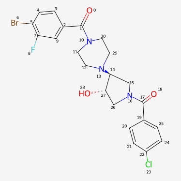 O=C(c1ccc(Br)c(F)c1)N1CCN([C@H]2CN(C(=O)c3ccc(Cl)cc3)C[C@@H]2O)CC1